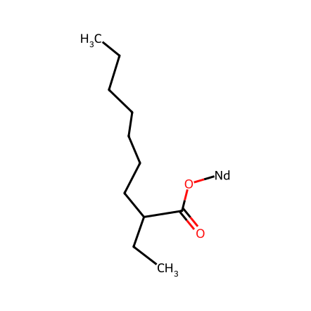 CCCCCCCC(CC)C(=O)[O][Nd]